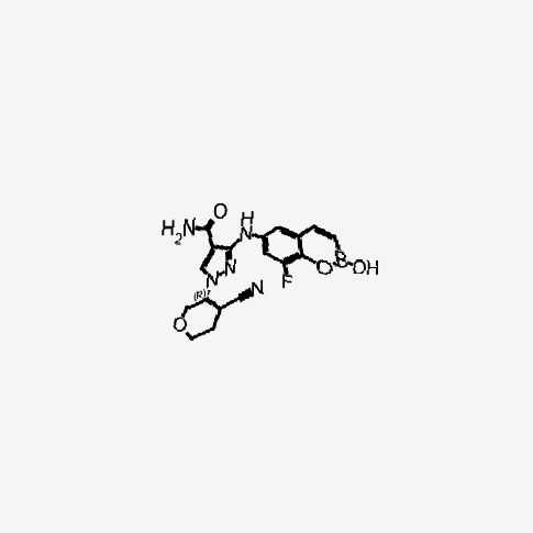 N#CC1CCOC[C@@H]1n1cc(C(N)=O)c(Nc2cc(F)c3c(c2)C=CB(O)O3)n1